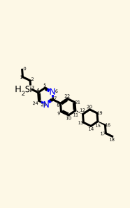 CCC[SiH2]c1cnc(-c2ccc([C@H]3CC[C@H](CCC)CC3)cc2)nc1